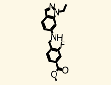 CCn1ncc2ccc(NCc3ccc(C(=O)OC)cc3F)cc21